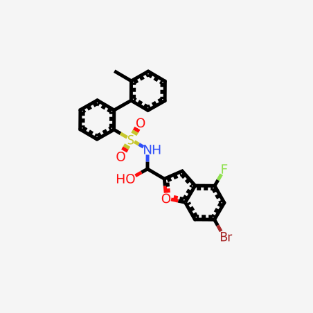 Cc1ccccc1-c1ccccc1S(=O)(=O)NC(O)c1cc2c(F)cc(Br)cc2o1